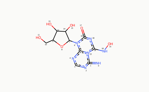 N=c1ncnc2n(C3OC(CO)C(O)C3O)c(=O)nc(NO)n12